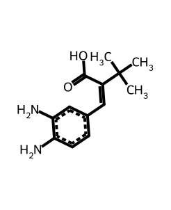 CC(C)(C)/C(=C/c1ccc(N)c(N)c1)C(=O)O